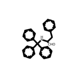 O=CC(Cc1ccccc1)NC(c1ccccc1)(c1ccccc1)c1ccccc1